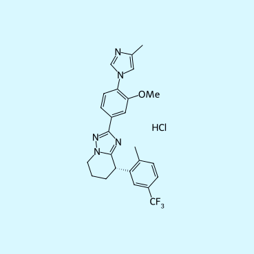 COc1cc(-c2nc3n(n2)CCC[C@H]3c2cc(C(F)(F)F)ccc2C)ccc1-n1cnc(C)c1.Cl